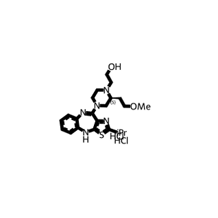 COCC[C@H]1CN(C2=Nc3ccccc3Nc3sc(C(C)C)nc32)CCN1CCO.Cl.Cl